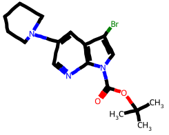 CC(C)(C)OC(=O)n1cc(Br)c2cc(N3CCCCC3)cnc21